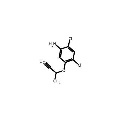 C#CC(C)Oc1cc(N)c(Cl)cc1Cl